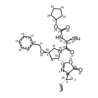 C=C[C@H]1C[C@@]12N=C([C@@H]1C[C@@H](OCc3ccccc3)CN1C(=O)[C@@H](NC(=O)OC1CCCC1)C(C)(C)C)OC2=O